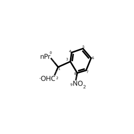 CCCC([C]=O)c1ccccc1[N+](=O)[O-]